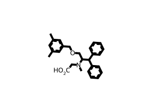 Cc1cc(C)cc(COCC(C(c2ccccc2)c2ccccc2)N(C)CC(=O)O)c1